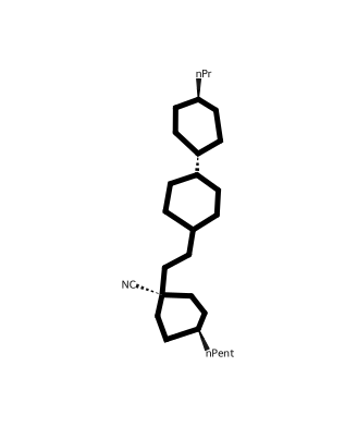 CCCCC[C@H]1CC[C@@](C#N)(CCC2CCC([C@H]3CC[C@H](CCC)CC3)CC2)CC1